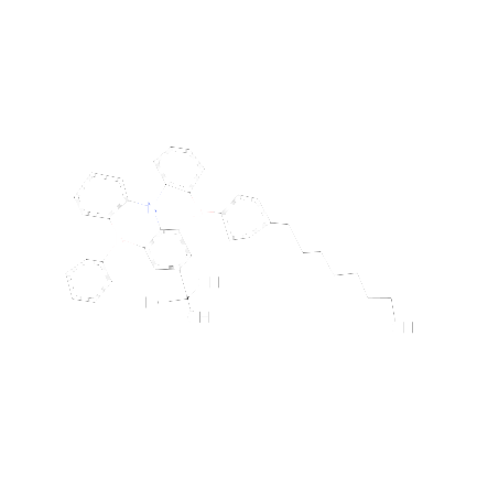 CCCCCCCCc1ccc(B2c3ccccc3N3c4ccccc4B(c4ccccc4)c4cc(C(C)(C)C)cc2c43)cc1